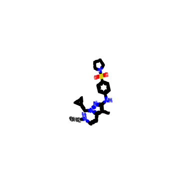 Cc1c(Nc2ccc(S(=O)(=O)N3CCCC3)cc2)nn(CC2CC2)c1/C=C\NC=O